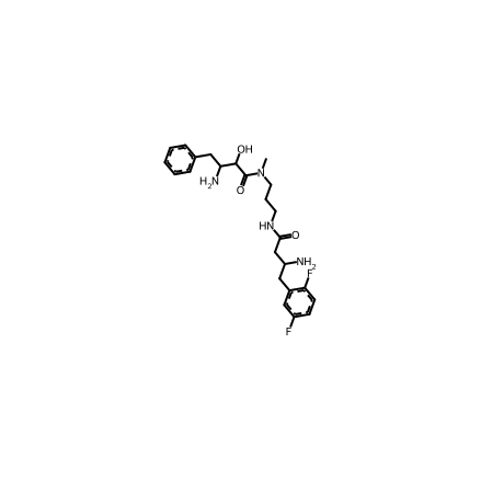 CN(CCCNC(=O)CC(N)Cc1cc(F)ccc1F)C(=O)C(O)C(N)Cc1ccccc1